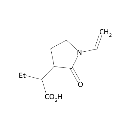 C=CN1CCC(C(CC)C(=O)O)C1=O